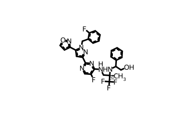 C[C@@](CNc1nc(-c2cc(-c3ccon3)n(Cc3ccccc3F)n2)ncc1F)(NC(CO)c1ccccc1)C(F)(F)F